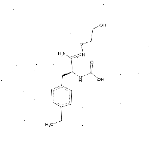 CCc1ccc(C[C@H](NC(=O)O)/C(N)=N/OCCO)cc1